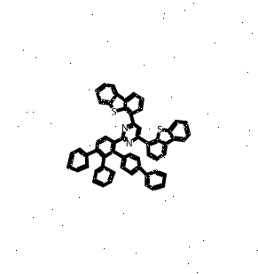 c1ccc(-c2ccc(-c3c(-c4nc(-c5cccc6c5sc5ccccc56)cc(-c5cccc6c5sc5ccccc56)n4)ccc(-c4ccccc4)c3-c3ccccc3)cc2)cc1